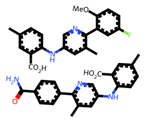 COc1ccc(F)cc1-c1ncc(Nc2ccc(C)cc2C(=O)O)cc1C.Cc1ccc(Nc2cnc(-c3ccc(C(N)=O)cc3)c(C)c2)c(C(=O)O)c1